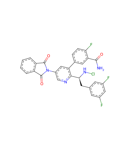 NC(=O)c1cc(-c2cc(N3C(=O)c4ccccc4C3=O)cnc2[C@H](Cc2cc(F)cc(F)c2)NCl)ccc1F